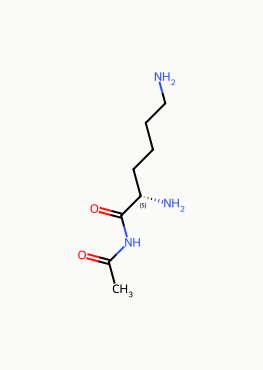 CC(=O)NC(=O)[C@@H](N)CCCCN